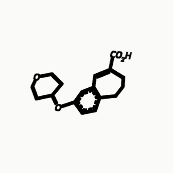 O=C(O)C1=Cc2cc(OC3CCOCC3)ccc2CCC1